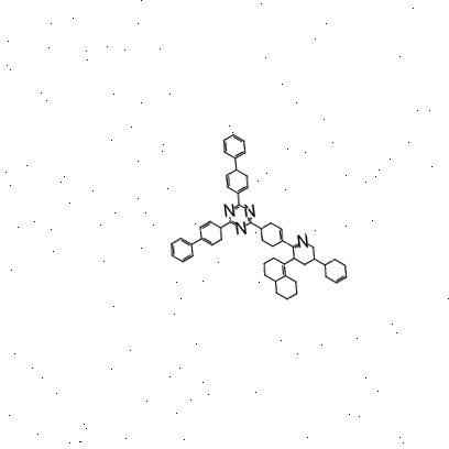 C1=CCC(C2CN=C(C3=CCC(c4nc(C5=CCC(c6ccccc6)C=C5)nc(C5C=CC(c6ccccc6)=CC5)n4)CC3)C(C3=C4CCCCC4CCC3)C2)CC1